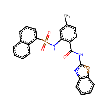 O=C(Nc1nc2ccccc2s1)c1ccc(C(F)(F)F)cc1NS(=O)(=O)c1cccc2ccccc12